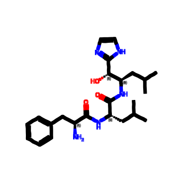 CC(C)C[C@H](NC(=O)[C@@H](N)Cc1ccccc1)C(=O)N[C@H](CC(C)C)[C@H](O)c1ncc[nH]1